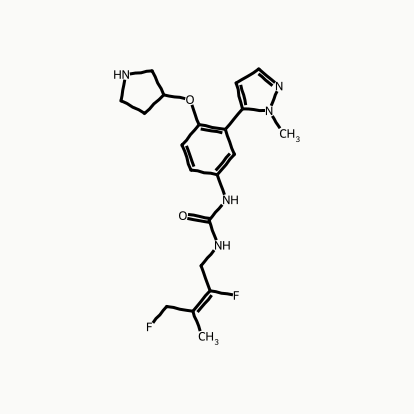 CC(CF)=C(F)CNC(=O)Nc1ccc(OC2CCNC2)c(-c2ccnn2C)c1